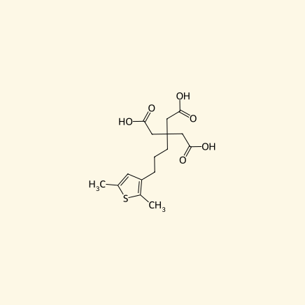 Cc1cc(CCCC(CC(=O)O)(CC(=O)O)CC(=O)O)c(C)s1